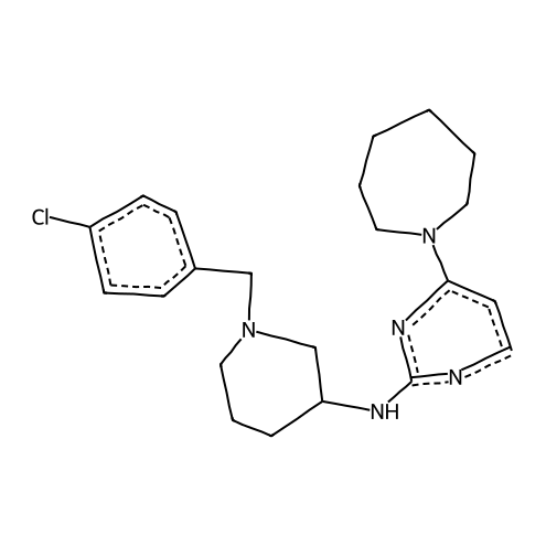 Clc1ccc(CN2CCCC(Nc3nccc(N4CCCCCC4)n3)C2)cc1